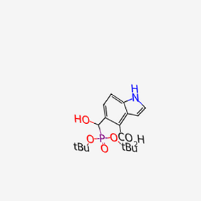 CC(C)(C)OP(=O)(OC(C)(C)C)C(O)c1ccc2[nH]ccc2c1C(=O)O